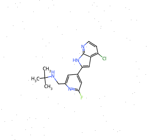 CC(C)(C)NCc1cc(-c2cc3c(Cl)ccnc3[nH]2)cc(F)n1